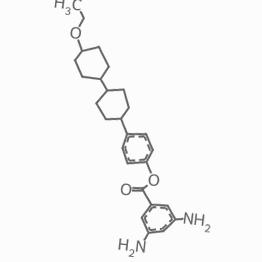 CCOC1CCC(C2CCC(c3ccc(OC(=O)c4cc(N)cc(N)c4)cc3)CC2)CC1